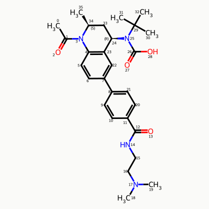 CC(=O)N1c2ccc(-c3ccc(C(=O)NCCN(C)C)cc3)cc2[C@H](N(C(=O)O)C(C)(C)C)C[C@@H]1C